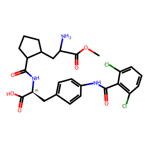 COC(=O)C(N)CC1CCCC1C(=O)N[C@@H](Cc1ccc(NC(=O)c2c(Cl)cccc2Cl)cc1)C(=O)O